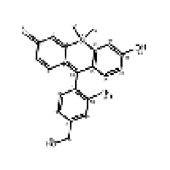 C[Si]1(C)C2=CC(=O)C=CC2=C(c2ccc(CO)cc2C(F)(F)F)c2ccc(O)cc21